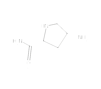 NC(=O)[C@H]1C[C@@H](N)CN1